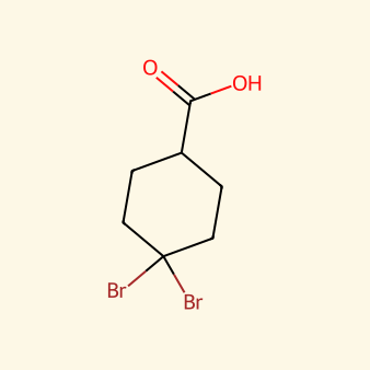 O=C(O)C1CCC(Br)(Br)CC1